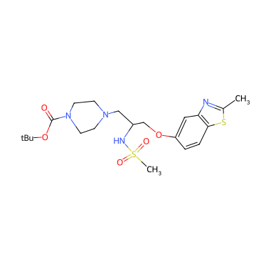 Cc1nc2cc(OCC(CN3CCN(C(=O)OC(C)(C)C)CC3)NS(C)(=O)=O)ccc2s1